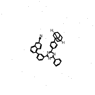 N#Cc1ccc2c(-c3cccc(-c4nc(-c5ccccc5)nc(-c5ccc(C67CC8C[C@H](C6)C[C@@H](C8)C7)cc5)n4)c3)cccc2c1